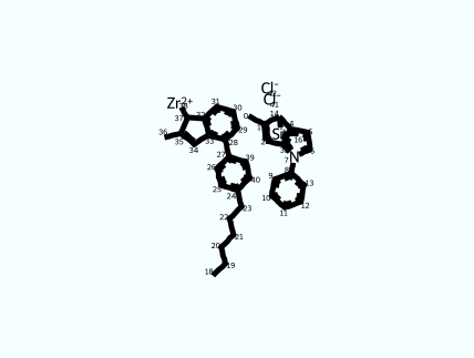 CC1=C2c3c(ccn3-c3ccccc3)C1[Si]2(C)C.CCCCCCc1ccc(-c2cccc3c2C=C(C)[CH]3[Zr+2])cc1.[Cl-].[Cl-]